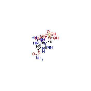 N=C1N[C@H]2[C@H](COC(N)=O)NC(=N)N3[C@@H](CCO)[C@H](OS(=O)(=O)O)C(O)(O)[C@]23N1